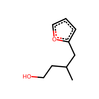 CC(CCO)Cc1ccco1